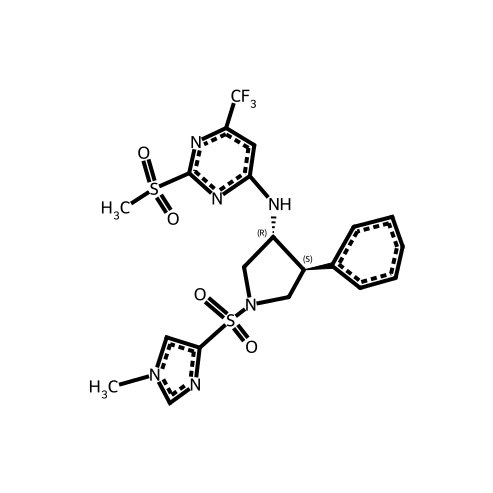 Cn1cnc(S(=O)(=O)N2C[C@H](Nc3cc(C(F)(F)F)nc(S(C)(=O)=O)n3)[C@@H](c3ccccc3)C2)c1